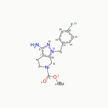 CC(C)(C)OC(=O)N1CCc2c(N)nn(Cc3ccc(F)cc3)c2C1